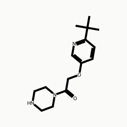 CC(C)(C)c1ccc(OCC(=O)N2CCNCC2)cn1